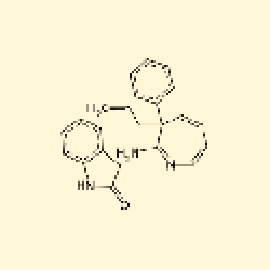 C=CCC1(c2ccccc2)C=CC=CN=C1N.O=C1Cc2ccccc2N1